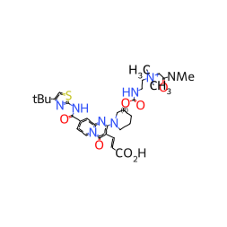 CNC(=O)C[N+](C)(C)CCNC(=O)O[C@@H]1CCCN(c2nc3cc(C(=O)Nc4nc(C(C)(C)C)cs4)ccn3c(=O)c2C=CC(=O)O)C1